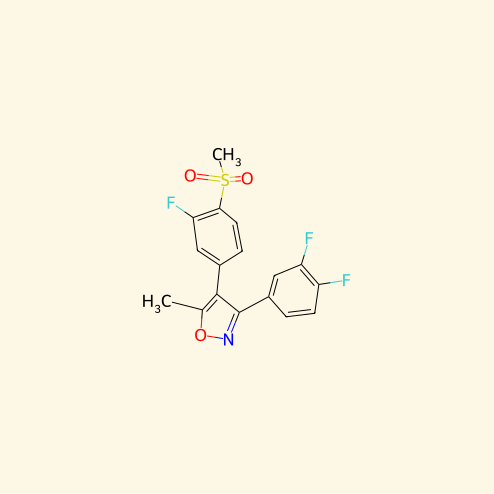 Cc1onc(-c2ccc(F)c(F)c2)c1-c1ccc(S(C)(=O)=O)c(F)c1